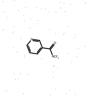 O=C(NC(F)(F)F)c1cccnc1